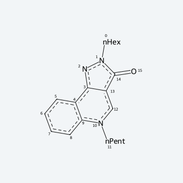 CCCCCCn1nc2c3ccccc3n(CCCCC)cc-2c1=O